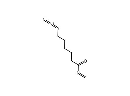 C=NC(=O)CCCCCN=[N+]=[N-]